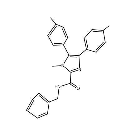 Cc1ccc(-c2nc(C(=O)NCc3ccccc3)n(C)c2-c2ccc(C)cc2)cc1